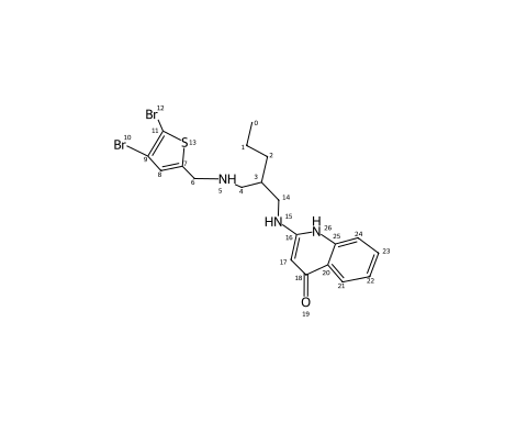 CCCC(CNCc1cc(Br)c(Br)s1)CNc1cc(=O)c2ccccc2[nH]1